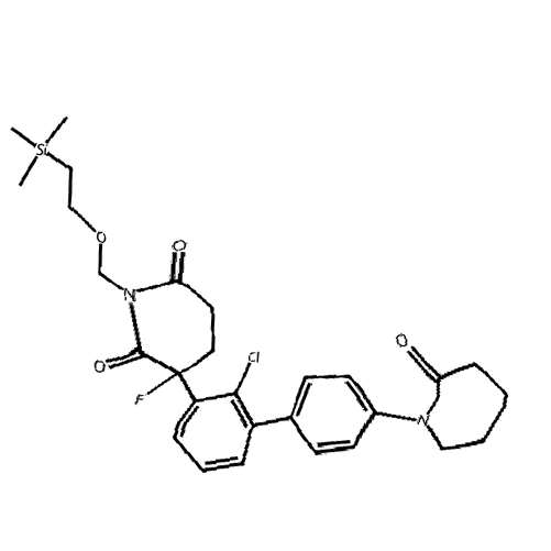 C[Si](C)(C)CCOCN1C(=O)CCC(F)(c2cccc(-c3ccc(N4CCCCC4=O)cc3)c2Cl)C1=O